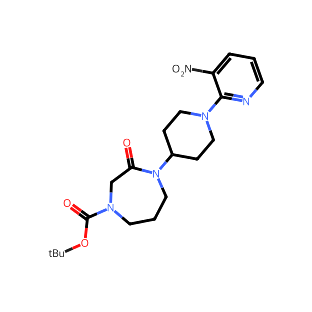 CC(C)(C)OC(=O)N1CCCN(C2CCN(c3ncccc3[N+](=O)[O-])CC2)C(=O)C1